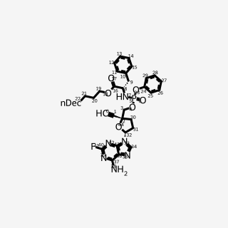 C#C[C@@]1(COP(=O)(N[C@@H](Cc2ccccc2)C(=O)OCCCCCCCCCCCCC)Oc2ccccc2)CC[C@H](n2cnc3c(N)nc(F)nc32)O1